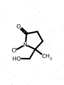 CC1(CO)CCC(=O)N1Cl